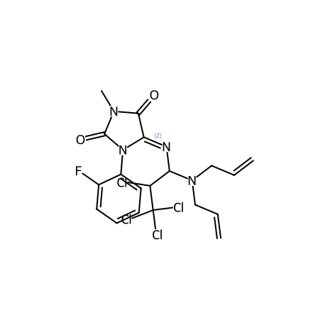 C=CCN(CC=C)C(/N=C1/C(=O)N(C)C(=O)N1c1ccccc1F)C(Cl)C(Cl)(Cl)Cl